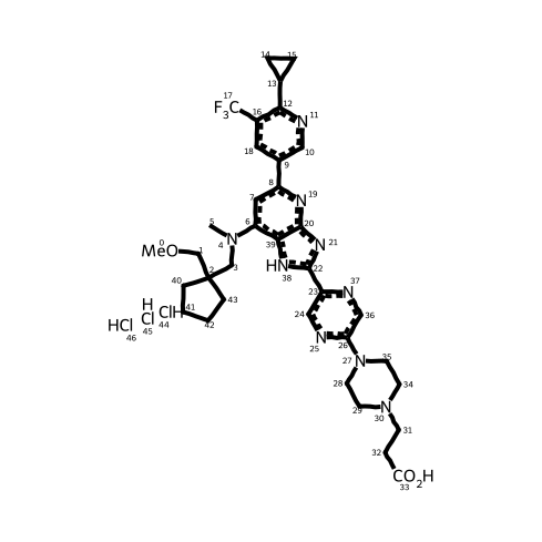 COCC1(CN(C)c2cc(-c3cnc(C4CC4)c(C(F)(F)F)c3)nc3nc(-c4cnc(N5CCN(CCC(=O)O)CC5)cn4)[nH]c23)CCCC1.Cl.Cl.Cl